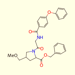 COCC1CC(C(=O)OCc2ccccc2)N(C(=O)CNC(=O)c2ccc(Oc3ccccc3)cc2)C1